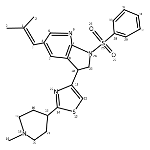 CC(C)=Cc1cnc2c(c1)C(c1csc(C3CCN(C)CC3)n1)CN2S(=O)(=O)c1ccccc1